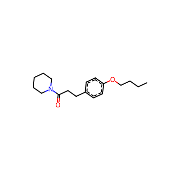 CCCCOc1ccc(CCC(=O)N2CCCCC2)cc1